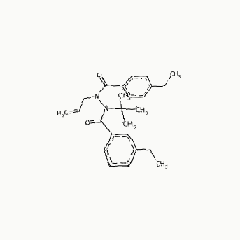 C=CCN(C(=O)c1ccc(CC)cc1)N(C(=O)c1cccc(CC)c1)C(C)(C)C